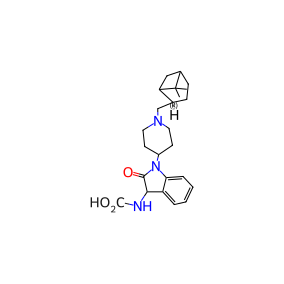 CC1(C)C2CC[C@@H](CN3CCC(N4C(=O)C(NC(=O)O)c5ccccc54)CC3)C1C2